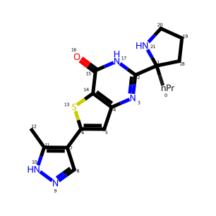 CCCC1(c2nc3cc(-c4cn[nH]c4C)sc3c(=O)[nH]2)CCCN1